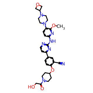 COc1nc(Nc2nccc(-c3ccc(OC4CCN(C(=O)CO)CC4)c(C#N)c3)n2)ccc1N1CCN(C2COC2)CC1